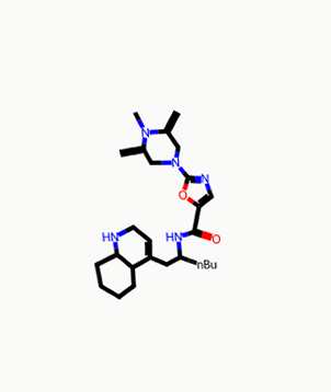 C=C1CN(c2ncc(C(=O)NC(CCCC)CC3=CCNC4CCCCC34)o2)CC(=C)N1C